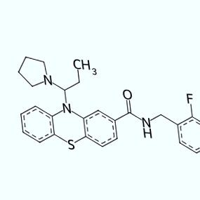 CCC(N1CCCC1)N1c2ccccc2Sc2ccc(C(=O)NCc3ccccc3F)cc21